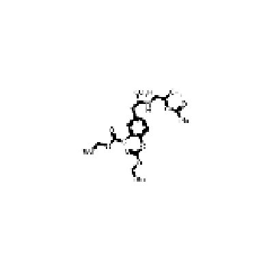 CCC(C)C(=O)OC(C)CN[C@@H](Cc1ccc(OC(=O)OCC(C)(C)C)c(OC(=O)OCC(C)(C)C)c1)C(=O)O